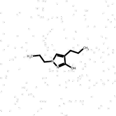 CCCc1cn(CCC)nc1O